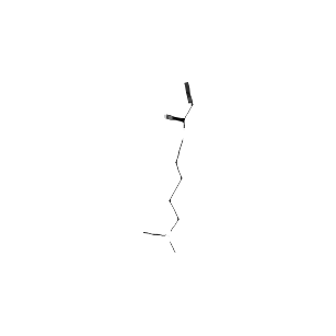 C=CC(=O)OCCCCN(C)C